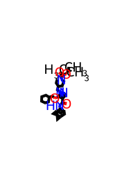 CC(C)(C)OC(=O)N1CCC(Cn2ncc(C(=O)NC3C4CC5CC56CC36C4)c2OCC2CCCCC2)CC1